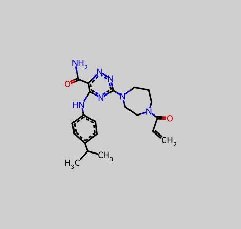 C=CC(=O)N1CCCN(c2nnc(C(N)=O)c(Nc3ccc(C(C)C)cc3)n2)CC1